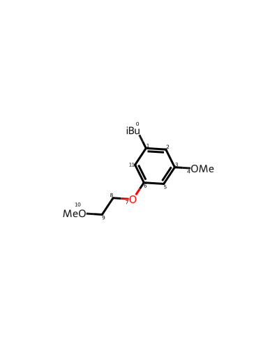 CCC(C)c1cc(OC)cc(OCCOC)c1